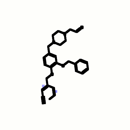 C#C/C=C(\C=C/C)COc1ccc(CN2CCN(CC=O)CC2)cc1OCc1ccccc1